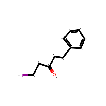 O=C(CCI)CCc1ccccc1